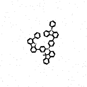 CC1(C)c2ccccc2-c2cccc(N(c3ccc(-c4cccc5c4oc4c(-c6ccccc6)cccc45)cc3)c3ccc(-c4cccc5c4c4ccccc4n5-c4ccccc4)cc3)c21